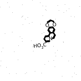 O=C(O)C1=CN2C=Cc3cc4c(cc3C2=CC1)OC=CCO4